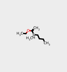 C=C(OCC)[SiH](C)CCCC